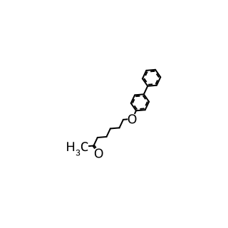 CC(=O)CCCCCOc1ccc(-c2ccccc2)cc1